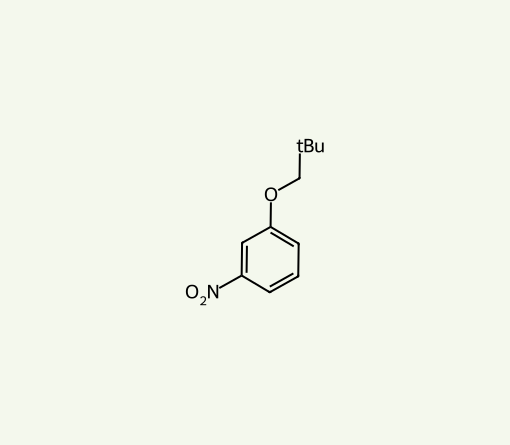 CC(C)(C)COc1cccc([N+](=O)[O-])c1